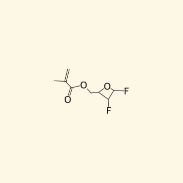 C=C(C)C(=O)OCC1OC(F)C1F